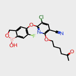 CC(=O)CCCCOc1nc(Oc2cc3c(cc2F)B(O)OC3)c(Cl)cc1C#N